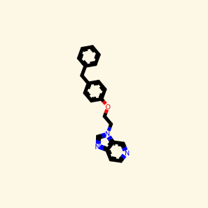 c1ccc(Cc2ccc(OCCn3cnc4ccncc43)cc2)cc1